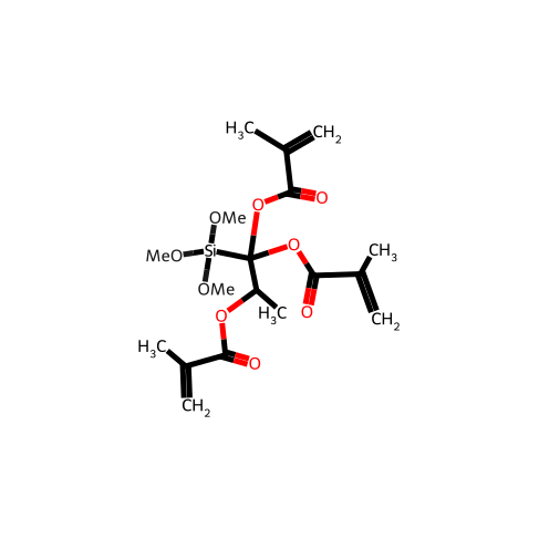 C=C(C)C(=O)OC(C)C(OC(=O)C(=C)C)(OC(=O)C(=C)C)[Si](OC)(OC)OC